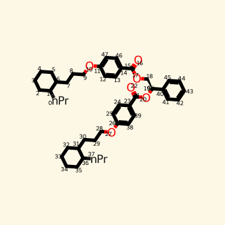 CCCC1CCCCC1CCCOc1ccc(C(=O)OC[C@H](OC(=O)c2ccc(OCCCC3CCCCC3CCC)cc2)c2ccccc2)cc1